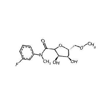 COC[C@H]1OC(C(=O)N(C)c2cccc(F)c2)[C@H](O)[C@@H]1O